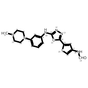 CN1CCN(c2cccc(Nc3nnc(-c4cc(NC=O)cs4)o3)c2)CC1